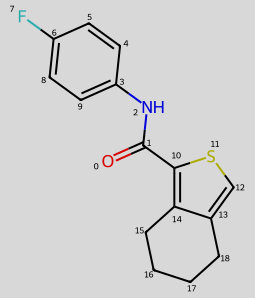 O=C(Nc1ccc(F)cc1)c1scc2c1CCCC2